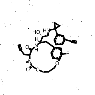 C#CCC1C(=O)N[C@H]([C@H](O)CNC2(c3cccc(C#C)c3)CC2)Cc2ccc(c(F)c2)OCCCCC(=O)N1C